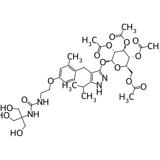 CC(=O)OC[C@H]1O[C@@H](Oc2n[nH]c(C(C)C)c2Cc2ccc(OCCNC(=O)NC(CO)(CO)CO)cc2C)[C@H](OC(C)=O)[C@@H](OC(C)=O)[C@@H]1OC(C)=O